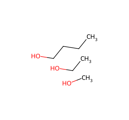 CCCCO.CCO.CO